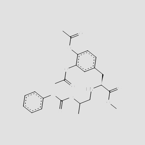 COC(=O)[C@H](Cc1ccc(OC(C)=O)c(OC(C)=O)c1)NCC(C)OC(=O)Oc1ccccc1